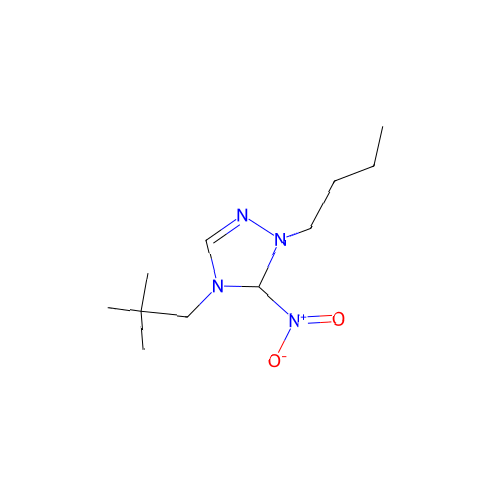 CCCCN1N=CN(CC(C)(C)C)C1[N+](=O)[O-]